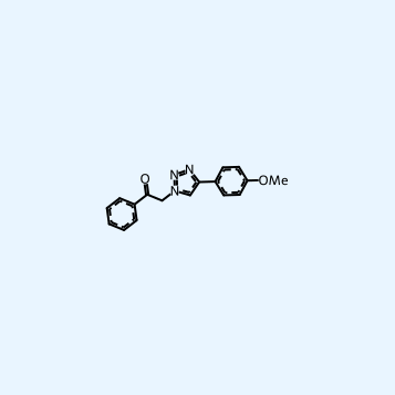 COc1ccc(-c2cn(CC(=O)c3ccccc3)nn2)cc1